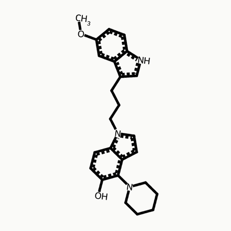 COc1ccc2[nH]cc(CCCn3ccc4c(N5CCCCC5)c(O)ccc43)c2c1